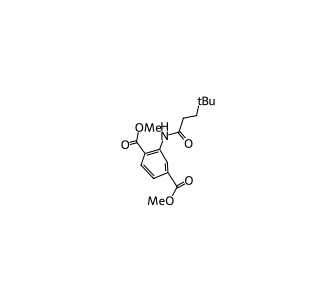 COC(=O)c1ccc(C(=O)OC)c(NC(=O)CCC(C)(C)C)c1